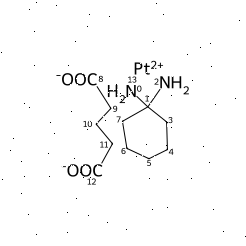 NC1(N)CCCCC1.O=C([O-])CCCC(=O)[O-].[Pt+2]